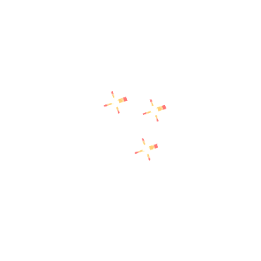 O=P(O)(O)O.O=P(O)(O)O.O=P(O)(O)O.[V].[V]